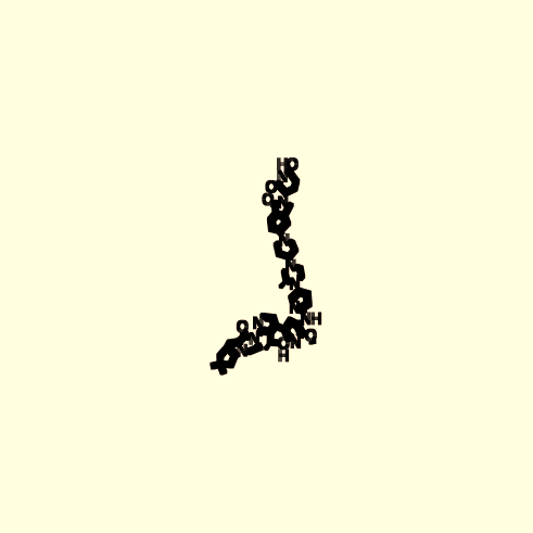 COc1ncc(-c2ccnc(N3CCn4c(cc5c4CC(C)(C)C5)C3=O)c2[C@H](C)O)cc1Nc1ccc(N2CCN(C3CCN(c4ccc5c(c4)CN([C@H]4CCC(=O)NC4=O)C5=O)CC3)C[C@@H]2C)cn1